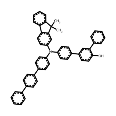 CC1(C)c2ccccc2-c2ccc(N(c3ccc(-c4ccc(-c5ccccc5)cc4)cc3)c3ccc(-c4ccc(O)c(-c5ccccc5)c4)cc3)cc21